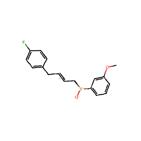 COc1cccc([S+]([O-])C/[C]=C/Cc2ccc(F)cc2)c1